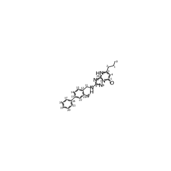 CCCc1cc(=O)n2nc(NCc3ccc(-c4ccccc4)cc3F)nc2[nH]1